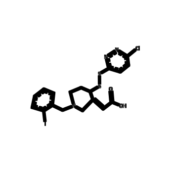 O=C(O)/C=C1/CN(Cc2ccccc2I)CCC1SSc1ccc(Cl)nn1